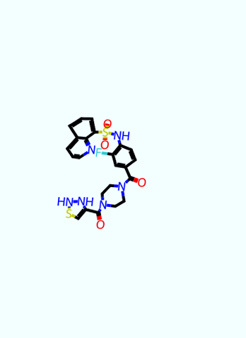 O=C(C1=CSNN1)N1CCN(C(=O)c2ccc(NS(=O)(=O)c3cccc4cccnc34)c(F)c2)CC1